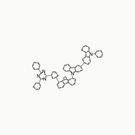 c1ccc(-c2nc(-c3ccccc3)nc(-c3cccc(-c4cccc5c4oc4c(-n6c7ccccc7c7cc(-c8ccc9c(c8)c8ccccc8n9-c8ccccc8)ccc76)cccc45)c3)n2)cc1